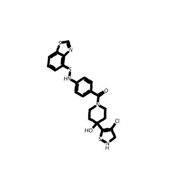 O=C(c1ccc(NSc2cccc3scnc23)cc1)N1CCC(O)(C2=C(Cl)CNS2)CC1